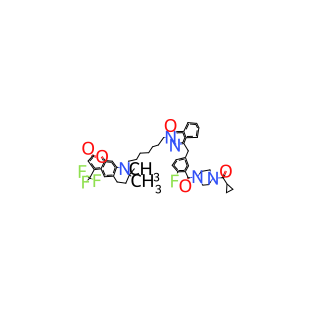 CC1(C)CCc2cc3c(C(F)(F)F)cc(=O)oc3cc2N1CCCCCCCn1nc(Cc2ccc(F)c(C(=O)N3CCN(C(=O)C4CC4)CC3)c2)c2ccccc2c1=O